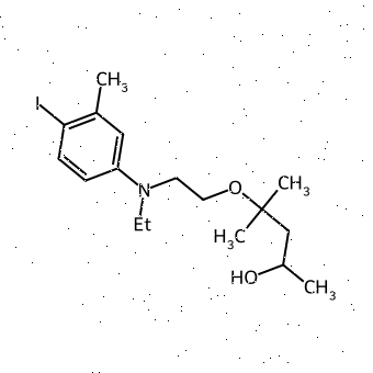 CCN(CCOC(C)(C)CC(C)O)c1ccc(I)c(C)c1